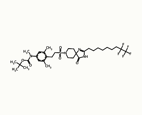 Cc1cc(N(C)C(=O)OC(C)(C)C)cc(C)c1CCS(=O)(=O)N1CCC2(CC1)N=C(CCCCCCCC(F)(F)C(F)(F)F)NC2=O